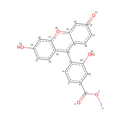 O=C(OI)c1ccc(-c2c3ccc(=O)cc-3oc3cc(O)ccc23)c(O)c1